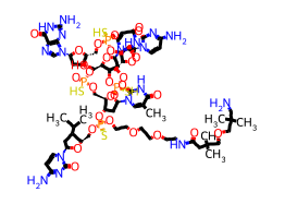 Cc1cn([C@H]2CC(OP(=S)(OCCOCCOCCNC(=O)CC(C)(C)COCC(C)(C)CN)OC[C@H]3O[C@@H](n4ccc(N)nc4=O)CC3C(C)C)[C@@H](COP(=O)(S)OC3C[C@H](n4cnc5c(=O)[nH]c(N)nc54)O[C@@H]3COP(=O)(S)OC3C[C@H](n4ccc(N)nc4=O)O[C@@H]3COP(=O)(S)OC3C[C@H](n4ccc(=O)[nH]c4=O)O[C@@H]3CO)O2)c(=O)[nH]c1=O